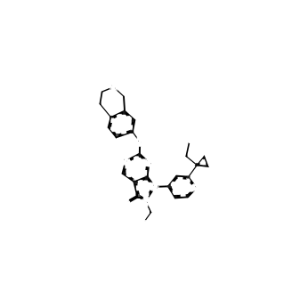 O=c1c2cnc(Nc3ccc4c(c3)CNCC4)nc2n(-c2ccnc(C3(CF)CC3)c2)n1CC(F)(F)F